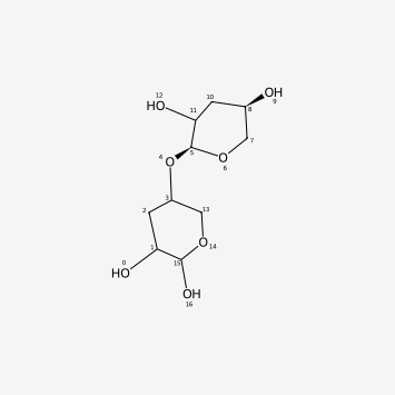 OC1CC(O[C@@H]2OC[C@H](O)CC2O)COC1O